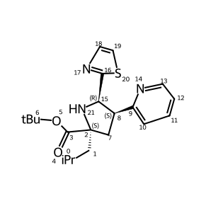 CC(C)C[C@@]1(C(=O)OC(C)(C)C)C[C@H](c2ccccn2)[C@H](c2nccs2)N1